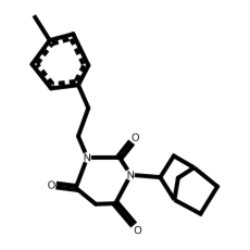 Cc1ccc(CCN2C(=O)CC(=O)N(C3CC4CCC3C4)C2=O)cc1